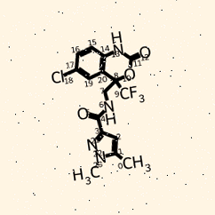 Cc1cc(C(=O)NCC2(C(F)(F)F)OC(=O)Nc3ccc(Cl)cc32)nn1C